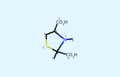 CN1C(C(=O)O)CSC1(C)C(=O)O